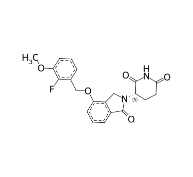 COc1cccc(COc2cccc3c2CN([C@H]2CCC(=O)NC2=O)C3=O)c1F